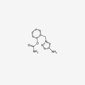 NC(=O)Oc1ccccc1Cn1cc(N)cn1